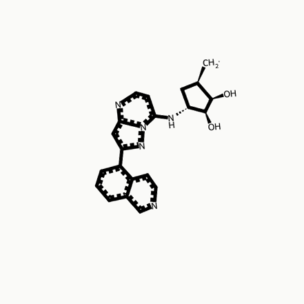 [CH2][C@@H]1C[C@@H](Nc2ccnc3cc(-c4cccc5cnccc45)nn23)[C@H](O)[C@@H]1O